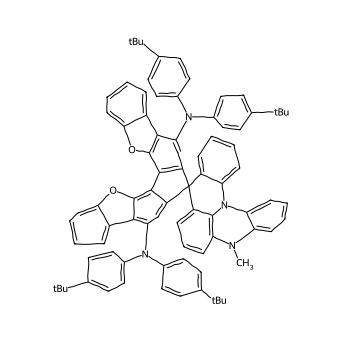 CN1c2ccccc2N2c3ccccc3C3(c4cccc1c42)c1cc(N(c2ccc(C(C)(C)C)cc2)c2ccc(C(C)(C)C)cc2)c2c(oc4ccccc42)c1-c1c3cc(N(c2ccc(C(C)(C)C)cc2)c2ccc(C(C)(C)C)cc2)c2c1oc1ccccc12